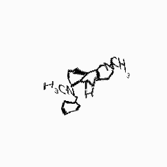 CN1CCc2[nH]c3c(N(C)Cc4ccccc4)cccc3c2C1